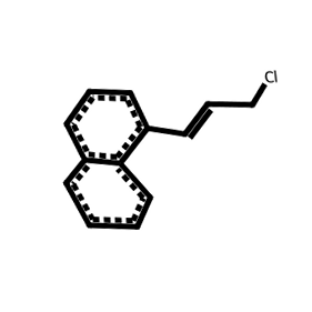 ClCC=Cc1cccc2ccccc12